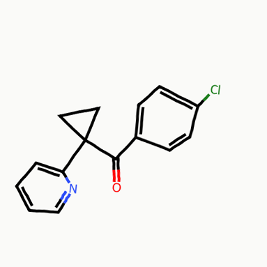 O=C(c1ccc(Cl)cc1)C1(c2ccccn2)CC1